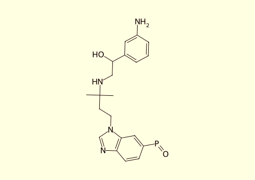 CC(C)(CCn1cnc2ccc(P=O)cc21)NCC(O)c1cccc(N)c1